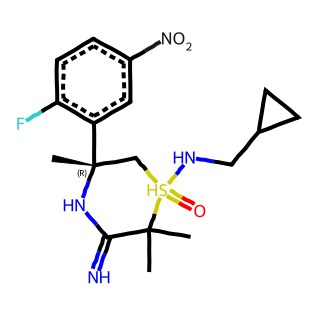 CC1(C)C(=N)N[C@](C)(c2cc([N+](=O)[O-])ccc2F)C[SH]1(=O)NCC1CC1